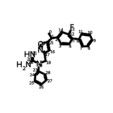 CC(c1ccc(-c2ccccc2)c(F)c1)c1cc(CN(C(=N)N)c2ccccc2)no1